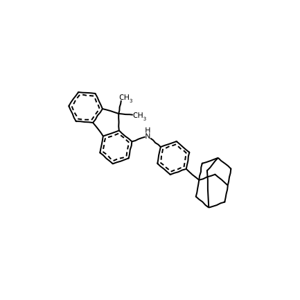 CC1(C)c2ccccc2-c2cccc(Nc3ccc(C45CC6CC(CC(C6)C4)C5)cc3)c21